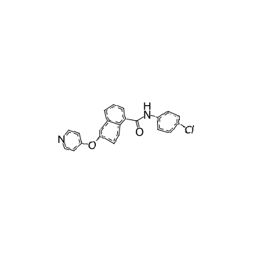 O=C(Nc1ccc(Cl)cc1)c1cccc2cc(Oc3ccncc3)ccc12